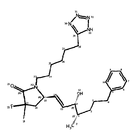 C[C@@H](CCCc1ccccc1)[C@@H](O)C=C[C@H]1CC(F)(F)C(=O)N1CCCCCCc1nnn[nH]1